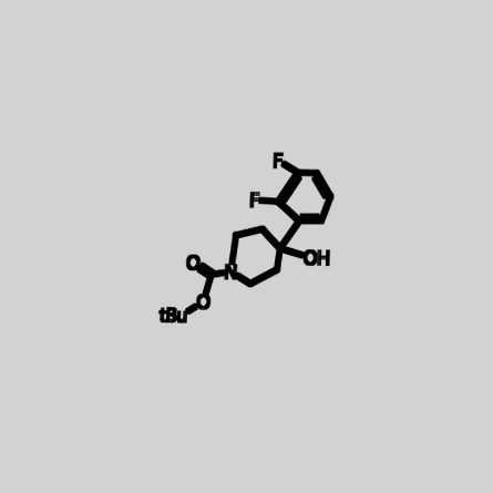 CC(C)(C)OC(=O)N1CCC(O)(c2cccc(F)c2F)CC1